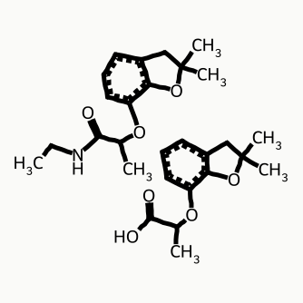 CC(Oc1cccc2c1OC(C)(C)C2)C(=O)O.CCNC(=O)C(C)Oc1cccc2c1OC(C)(C)C2